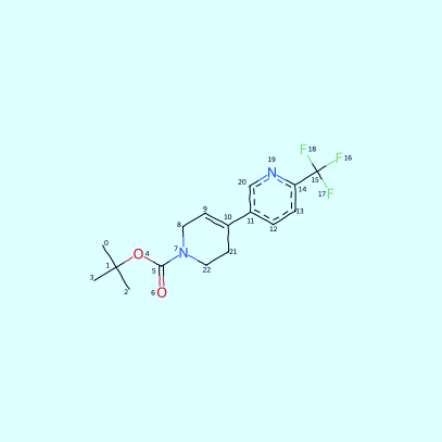 CC(C)(C)OC(=O)N1CC=C(c2ccc(C(F)(F)F)nc2)CC1